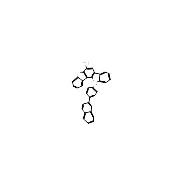 Brc1cc2c3ccccc3n(-c3ccc(-c4ccc5ccccc5c4)cc3)c2c2c1oc1ccccc12